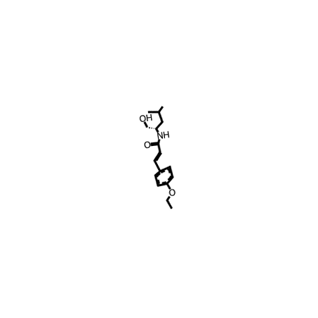 CCOc1ccc(/C=C/C(=O)N[C@H](CO)CC(C)C)cc1